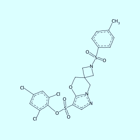 Cc1ccc(S(=O)(=O)N2CC3(COc4c(S(=O)(=O)Oc5c(Cl)cc(Cl)cc5Cl)cnn4C3)C2)cc1